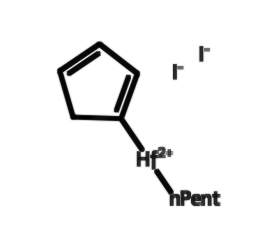 CCCC[CH2][Hf+2][C]1=CC=CC1.[I-].[I-]